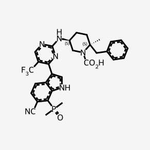 C[C@@]1(Cc2ccccc2)CC[C@H](Nc2ncc(C(F)(F)F)c(-c3c[nH]c4c(P(C)(C)=O)c(C#N)ccc34)n2)CN1C(=O)O